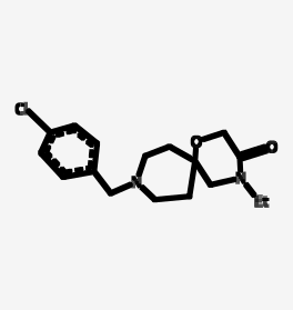 CCN1CC2(CCN(Cc3ccc(Cl)cc3)CC2)OCC1=O